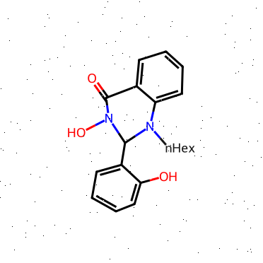 CCCCCCN1c2ccccc2C(=O)N(O)C1c1ccccc1O